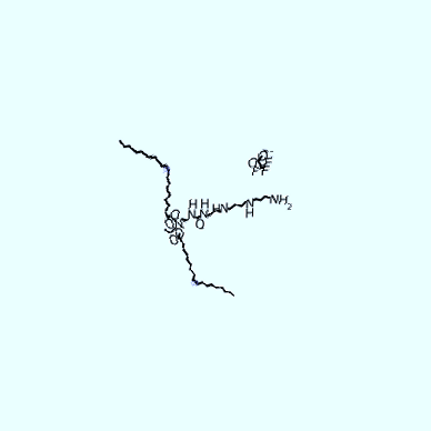 CCCCCCCC/C=C\CCCCCCCC(=O)OC(CC)(OC(=O)CCCCCCC/C=C\CCCCCCCC)[N+](C)(C)CCNC(=O)NCCCNCCCCNCCCN.O=C([O-])C(F)(F)F